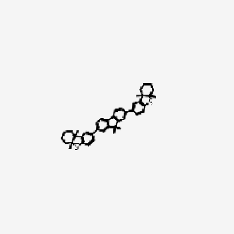 CC1(C)c2cc(-c3ccc4c(c3)C3(C)CCCCC3(C)S4)ccc2-c2ccc(-c3ccc4c(c3)C3(C)CCCCC3(C)S4)cc21